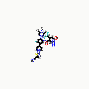 CC1CN(c2cc(F)c(C3=CCN(c4ncc(C#N)s4)CC3)cc2NC(=O)c2c[nH]c(=O)cc2C(F)F)CC(C)N1C